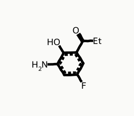 CCC(=O)c1cc(F)cc(N)c1O